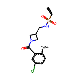 C=CS(=O)(=O)NCC1CN(C(=O)c2cc(Cl)ccc2OC)C1